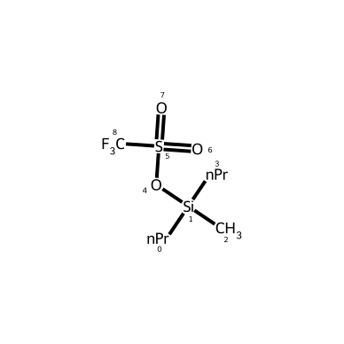 CCC[Si](C)(CCC)OS(=O)(=O)C(F)(F)F